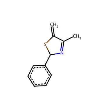 C=C1SC(c2ccccc2)N=C1C